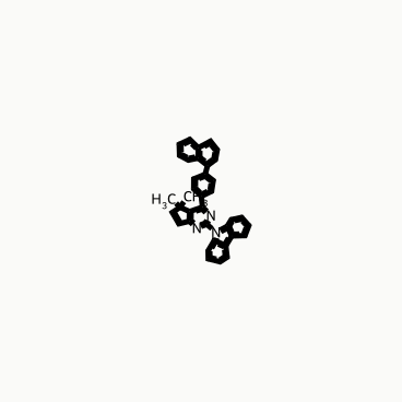 CC1(C)C=Cc2nc(-n3c4ccccc4c4ccccc43)nc(-c3ccc(-c4cccc5ccccc45)cc3)c21